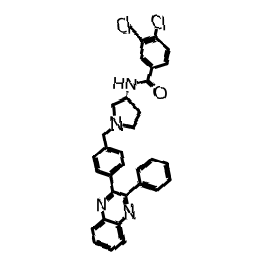 O=C(N[C@@H]1CCN(Cc2ccc(-c3nc4ccccc4nc3-c3ccccc3)cc2)C1)c1ccc(Cl)c(Cl)c1